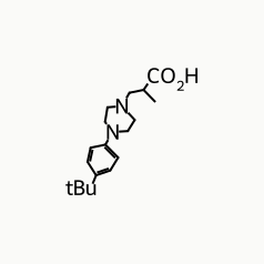 CC(CN1CCN(c2ccc(C(C)(C)C)cc2)CC1)C(=O)O